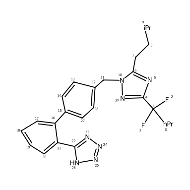 CCCC(F)(F)c1nc(CCC(C)C)n(Cc2ccc(-c3ccccc3-c3nnn[nH]3)cc2)n1